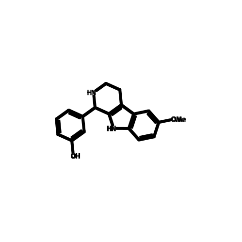 COc1ccc2[nH]c3c(c2c1)CCNC3c1cccc(O)c1